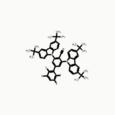 CC(C)(C)c1ccc2c(c1)c1cc(C(C)(C)C)ccc1n2-c1cc(-c2c(F)c(F)cc(F)c2F)cc(-n2c3ccc(C(C)(C)C)cc3c3cc(C(C)(C)C)ccc32)c1C#N